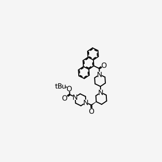 CC(C)(C)OC(=O)N1CCN(C(=O)[C@@H]2CCCN(C3CCN(C(=O)c4c5ccccc5cc5ccccc45)CC3)C2)CC1